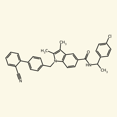 Cc1c(C)n(Cc2ccc(-c3ccccc3C#N)cc2)c2ccc(C(=O)NC(C)c3ccc(Cl)cc3)cc12